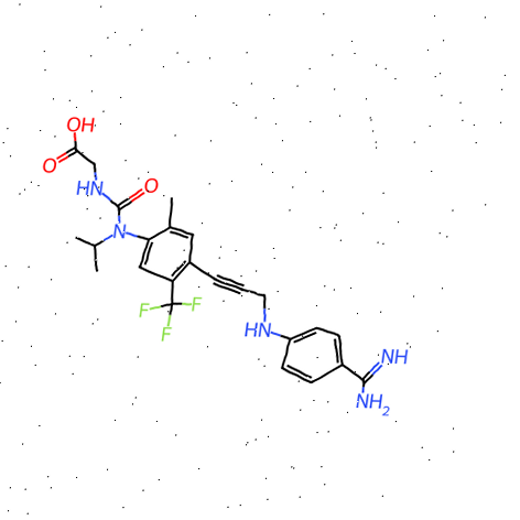 Cc1cc(C#CCNc2ccc(C(=N)N)cc2)c(C(F)(F)F)cc1N(C(=O)NCC(=O)O)C(C)C